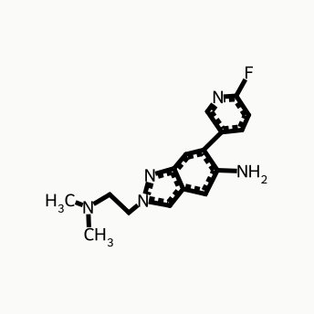 CN(C)CCn1cc2cc(N)c(-c3ccc(F)nc3)cc2n1